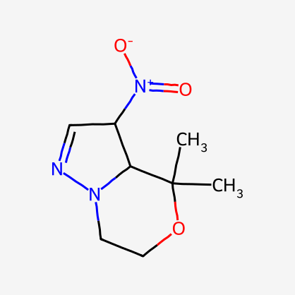 CC1(C)OCCN2N=CC([N+](=O)[O-])C21